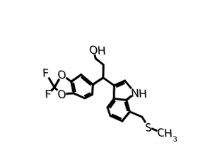 CSCc1cccc2c(C(CCO)c3ccc4c(c3)OC(F)(F)O4)c[nH]c12